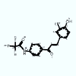 O=C(C=Cc1ccc(O)c(Cl)c1)c1ccc(NC(=O)C(F)(F)F)cc1